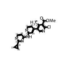 COC(=O)c1c(Cl)ncc(-c2ccnc(Nc3ccnc(C4CC4)n3)c2)c1C